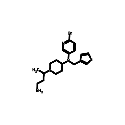 CC(CCN)N1CCC(N(Cc2ccsc2)c2ccc(Br)nc2)CC1